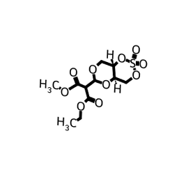 CCOC(=O)C(C(=O)OC)C1OC[C@@H]2OS(=O)(=O)OC[C@H]2O1